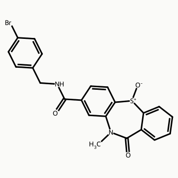 CN1C(=O)c2ccccc2[S+]([O-])c2ccc(C(=O)NCc3ccc(Br)cc3)cc21